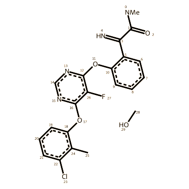 CNC(=O)C(=N)c1ccccc1Oc1ncnc(Oc2cccc(Cl)c2C)c1F.CO